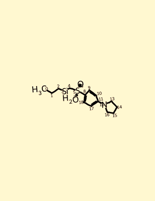 CCC[SiH2]CS(=O)(=O)c1ccc(N2CCCC2)cc1